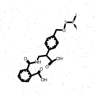 O=C(O)c1ccccc1C(=O)NCC(C(=O)O)c1ccc(COSP(I)I)cc1